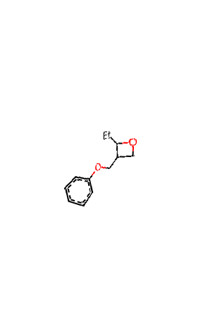 CCC1OCC1COc1ccccc1